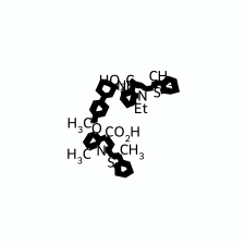 CCc1ccc(NC2CCCC(c3ccc([C@@H](C)Oc4ccc(C)c5nc(-c6sc7ccccc7c6C)cc(C(=O)O)c45)cc3)C2)c2c(C(=O)O)cc(-c3sc4ccccc4c3C)nc12